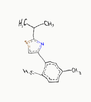 Cc1ccc(C)c(-c2csc(C(C)C)n2)c1